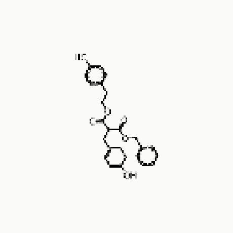 O=C(OCCc1ccc(O)cc1)C(CC1=CC=C(O)CC1)C(=O)OCc1ccccc1